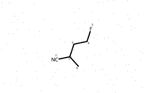 C[C](C#N)CCF